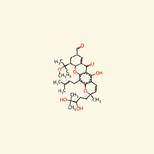 COC(C)(C)[C@H]1CC(C=O)C=C2C(=O)c3c(O)c4c(c(CC=C(C)C)c3OC21)O[C@@](C)(CCC(O)C(C)(C)O)C=C4